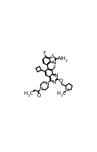 C=CC(=O)N1CCN(c2nc(OCC3CCCN3C)nc3c(F)c(-c4ccc(F)c5sc(N)nc45)c(C4CCC4)cc23)CC1